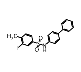 Cc1ccc(S(=O)(=O)Nc2ccc(-c3ccccc3)cc2)cc1I